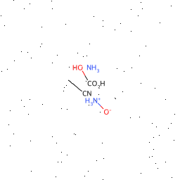 CC#N.N.O=C(O)O.[NH3+][O-]